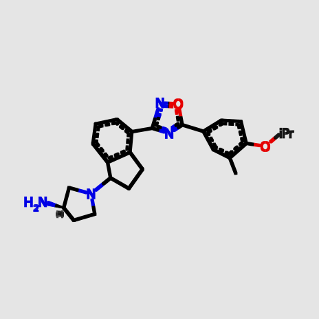 Cc1cc(-c2nc(-c3cccc4c3CCC4N3CC[C@@H](N)C3)no2)ccc1OC(C)C